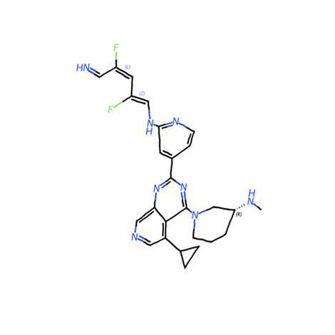 CN[C@@H]1CCCN(c2nc(-c3ccnc(N/C=C(F)/C=C(/F)C=N)c3)nc3cncc(C4CC4)c23)C1